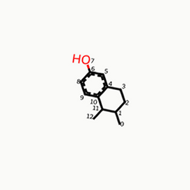 CC1CCc2cc(O)ccc2C1C